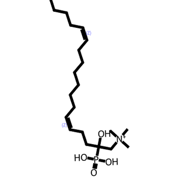 CCCC/C=C\CCCCCC/C=C\CCC(O)(C[N+](C)(C)C)P(=O)(O)O